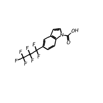 O=C(O)n1ccc2cc(C(F)(F)C(F)(F)C(F)(F)F)ccc21